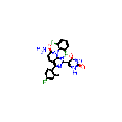 Cc1cc(F)ccc1-c1nc(-c2c[nH]c(=O)[nH]c2=O)nc2c1ccc(=O)n2-c1c(F)cccc1F.N